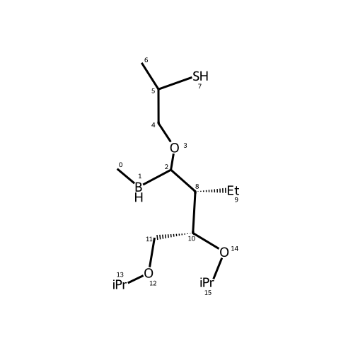 CBC(OCC(C)S)[C@H](CC)[C@@H](COC(C)C)OC(C)C